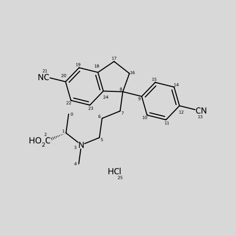 C[C@@H](C(=O)O)N(C)CCCC1(c2ccc(C#N)cc2)CCc2cc(C#N)ccc21.Cl